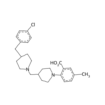 Cc1ccc(N2CCC(CN3CCC(Cc4ccc(Cl)cc4)CC3)CC2)c(C(=O)O)c1